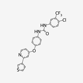 O=C(Nc1ccc(Oc2ccnc(-c3ccsc3)c2)cc1)Nc1ccc(Cl)c(C(F)(F)F)c1